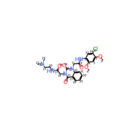 COc1cc(OC)c(NC(=O)Cn2c(=O)n(CC(=O)NCCN(C)C)c(=O)c3ccccc32)cc1Cl